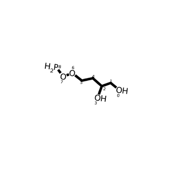 OCC(O)CCOOP